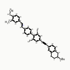 CCCCC1CCc2cc(C#Cc3cc(F)c(-c4ccc(/C=C/c5ccc(SC#N)c(C)c5)cc4)c(F)c3)ccc2C1